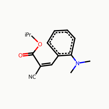 CC(C)OC(=O)C(C#N)=Cc1ccccc1N(C)C